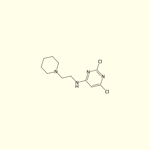 Clc1cc(NCCN2CCCCC2)nc(Cl)n1